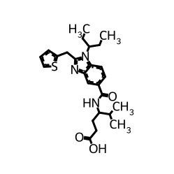 CCC(CC)n1c(Cc2cccs2)nc2cc(C(=O)NC(CCC(=O)O)C(C)C)ccc21